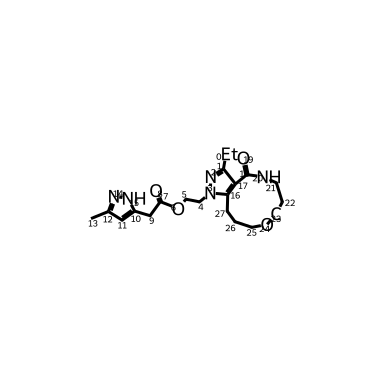 CCc1nn(CCOC(=O)Cc2cc(C)n[nH]2)c2c1C(=O)NCCCOCCC2